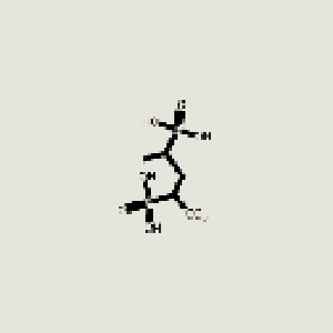 CC(CC(C(=O)O)P(=O)(O)O)P(=O)(O)O